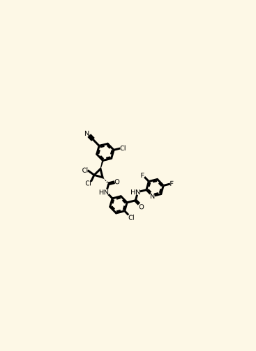 N#Cc1cc(Cl)cc([C@H]2[C@H](C(=O)Nc3ccc(Cl)c(C(=O)Nc4ncc(F)cc4F)c3)C2(Cl)Cl)c1